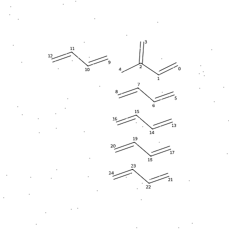 C=CC(=C)C.C=CC=C.C=CC=C.C=CC=C.C=CC=C.C=CC=C